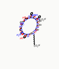 CCCC[C@H]1C(=O)N(C)[C@@H](CCCC)C(=O)N[C@@H](CC(C)C)C(=O)N[C@H](C(=O)NCCCCCCCCCCCCC(=O)O)CSCC(=O)N[C@@H](Cc2ccc(O)cc2)C(=O)N(C)[C@@H](C)C(=O)N[C@@H](CC(N)=O)C(=O)N2CCC[C@@H]2C(=O)N[C@@H](CN)C(=O)N[C@@H](CC(C)C)C(=O)N2C[C@@H](O)C[C@H]2C(=O)N[C@@H](Cc2c[nH]c3ccccc23)C(=O)N[C@@H](CCN)C(=O)N[C@@H](Cc2cn(CC(=O)O)c3ccccc23)C(=O)N1C